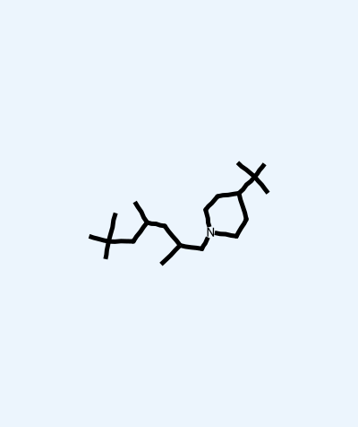 CC(CC(C)CC(C)(C)C)CN1CCC(C(C)(C)C)CC1